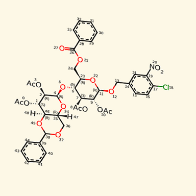 CC(=O)O[C@@H]1[C@@H](OC(C)=O)[C@@H](O[C@H]2[C@H](OC(C)=O)[C@@H](OC(C)=O)[C@H](OCc3ccc(Cl)c([N+](=O)[O-])c3)O[C@@H]2COC(=O)c2ccccc2)O[C@@H]2COC(c3ccccc3)O[C@@H]12